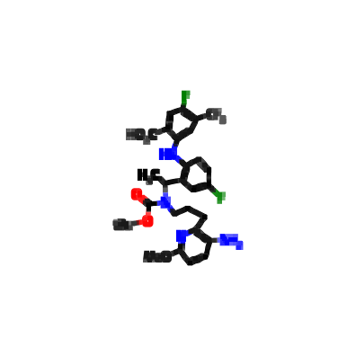 COc1ccc(N)c(CCCN(C(=O)OC(C)(C)C)C(C)c2cc(F)ccc2Nc2cc(C(F)(F)F)c(F)cc2C(=O)O)n1